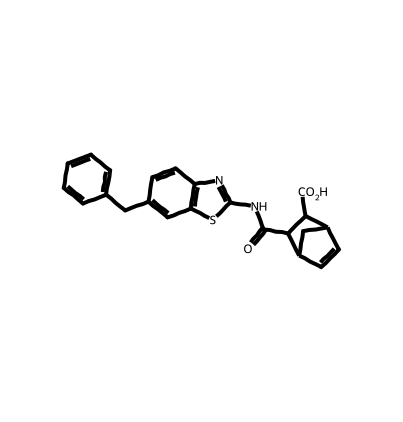 O=C(O)C1C2C=CC(C2)C1C(=O)Nc1nc2ccc(Cc3ccccc3)cc2s1